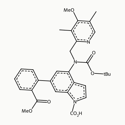 COC(=O)c1ccccc1-c1cc(N(Cc2ncc(C)c(OC)c2C)C(=O)OC(C)(C)C)c2ccn(C(=O)O)c2c1